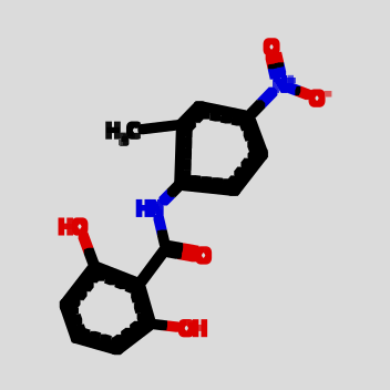 Cc1cc([N+](=O)[O-])ccc1NC(=O)c1c(O)cccc1O